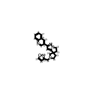 c1ccc2ncc(-c3cc4n(n3)CCC43CCN(Cc4ccon4)C3)cc2c1